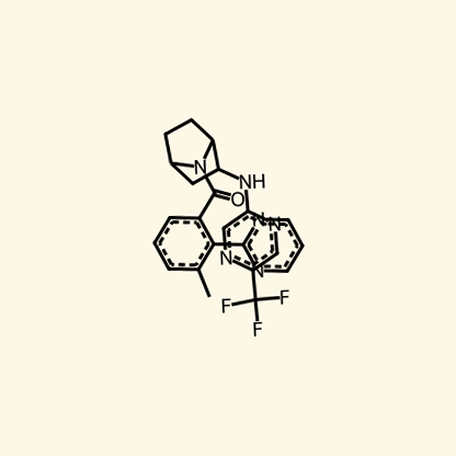 Cc1cccc(C(=O)N2C3CCC2C(Nc2cnc(C(F)(F)F)cn2)C3)c1-c1ncccn1